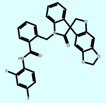 O=C(Nc1ccc(F)cc1F)c1ccccc1CN1C(=O)C2(COc3cc4c(cc32)OCO4)c2ccccc21